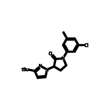 Cc1cc(Cl)cc(N2CCC(n3ccc(C(C)(C)C)n3)C2=O)c1